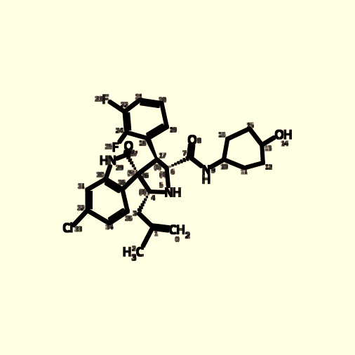 C=C(C)C[C@H]1N[C@@H](C(=O)NC2CCC(O)CC2)[C@H](c2cccc(F)c2F)[C@@]12C(=O)Nc1cc(Cl)ccc12